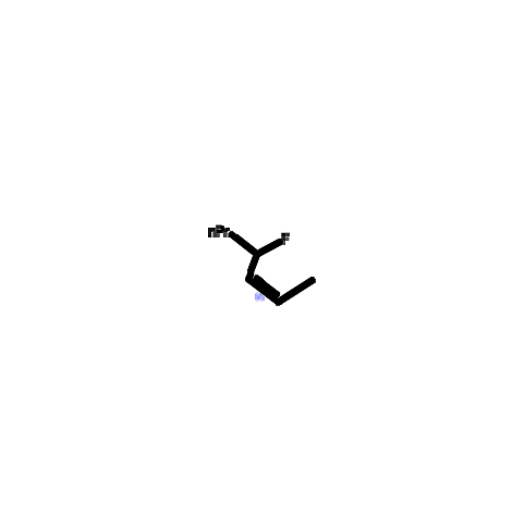 C/C=C\C(F)CCC